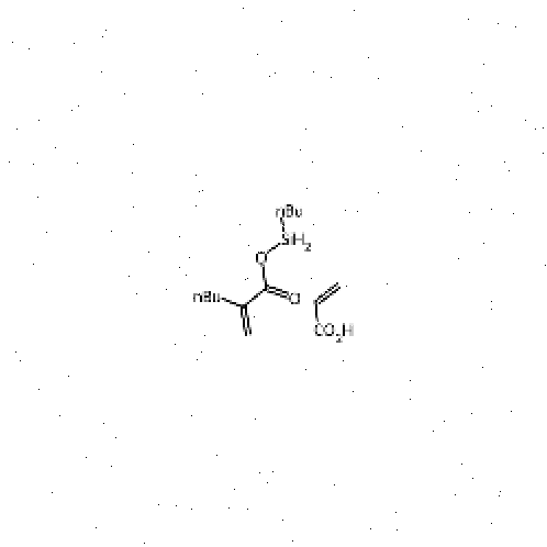 C=C(CCCC)C(=O)O[SiH2]CCCC.C=CC(=O)O